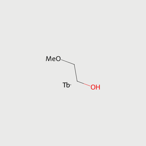 COCCO.[Tb]